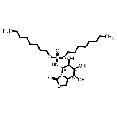 CCCCCCCCOP(=O)(N[C@@H]1C(O)[C@@H](O)[C@@H](O)C2COC(=O)N21)OCCCCCCCC